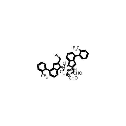 CC(C)CC1=Cc2c(-c3ccccc3C(F)(F)F)cccc2[CH]1[Hf]([Cl])([Cl])([B](NC=O)NC=O)[CH]1C(CC(C)C)=Cc2c(-c3ccccc3C(F)(F)F)cccc21